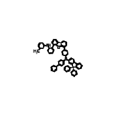 CC1C=CC=C(Nc2ccccc2-c2cccc3c2oc2c(-c4ccc(N(c5ccc(-c6ccccc6)cc5)c5ccc6c(c5)C(c5ccccc5)(c5ccccc5)c5ccccc5-6)cc4)cccc23)C1